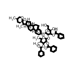 CC1O[C@@H](O[C@H]2C(OC(=O)c3ccccc3)[C@H](O)C(CO)O[C@H]2O[C@H]2CC[C@@]3(C)C(=CC[C@H]4[C@@H]5C[C@@H]6O[C@]7(CC[C@@H](C)CO7)[C@@H](C)[C@@H]6[C@@]5(C)CC[C@@H]43)C2)[C@@H](OC(=O)c2ccccc2)C(OC(=O)c2ccccc2)[C@H]1C